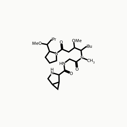 CCC(C)C(C(CC(=O)N1CCCC1C(OC)C(C)C)OC)N(C)C(=O)CNC(=O)C1NCC2CC21